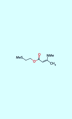 CN/C(C)=C\C(=O)OCCSC